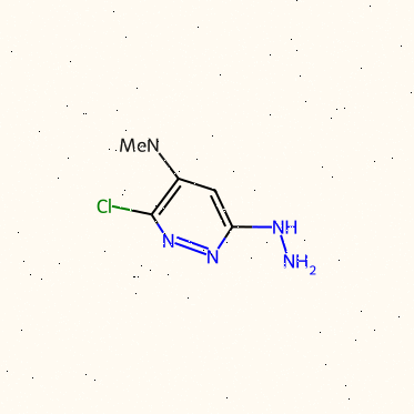 CNc1cc(NN)nnc1Cl